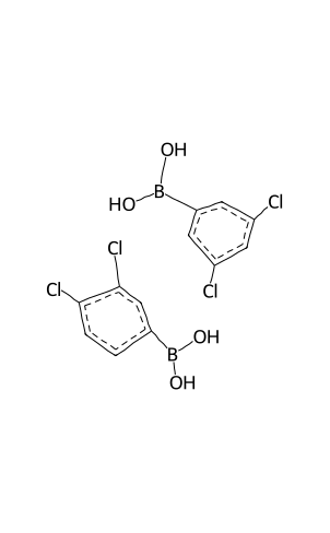 OB(O)c1cc(Cl)cc(Cl)c1.OB(O)c1ccc(Cl)c(Cl)c1